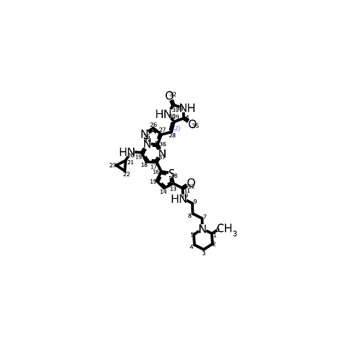 CC1CCCCN1CCCNC(=O)c1ccc(-c2cc(NC3CC3)n3ncc(/C=C4\NC(=O)NC4=O)c3n2)s1